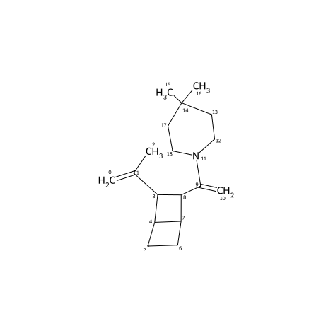 C=C(C)C1C2CCC2C1C(=C)N1CCC(C)(C)CC1